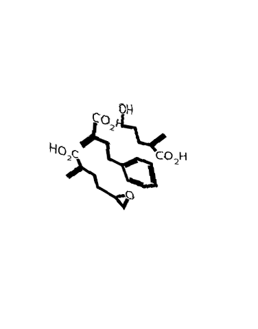 C=C(CCC1CO1)C(=O)O.C=C(CCCO)C(=O)O.C=C(CCc1ccccc1)C(=O)O